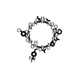 CC[C@H](C)[C@@H]1NC(=O)[C@H](C(C)C)N(C)C(=O)C[C@@H](C(=O)N2CCCCC2)NC(=O)[C@H](CC(C)C)N(C)C(=O)C2(CCCC2)NC(=O)[C@H](CC(C)C)N(C)C(=O)[C@H](CCc2ccc(C(F)(F)F)cc2)NC(=O)CN(C)C(=O)[C@H](Cc2ccc(Cl)cc2)N(C)C(=O)CN(C)C(=O)CN(C)C1=O